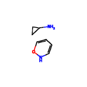 C1=CNOC=C1.NC1CC1